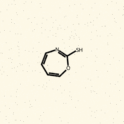 SC1=NC=CC=CO1